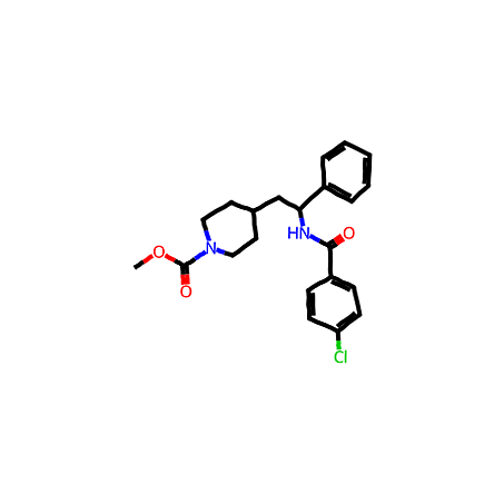 COC(=O)N1CCC(CC(NC(=O)c2ccc(Cl)cc2)c2ccccc2)CC1